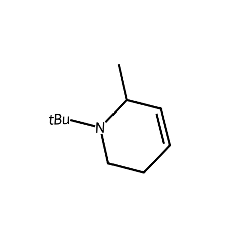 CC1C=CCCN1C(C)(C)C